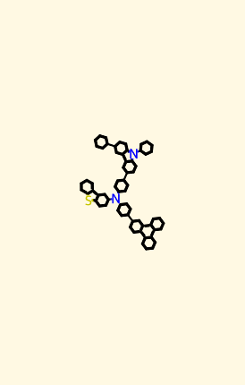 c1ccc(-c2ccc3c(c2)c2cc(-c4ccc(N(c5ccc(-c6ccc7c8ccccc8c8ccccc8c7c6)cc5)c5ccc6sc7ccccc7c6c5)cc4)ccc2n3-c2ccccc2)cc1